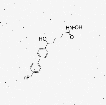 CCCc1ccc(-c2ccc(C(O)CCCCC(=O)NO)cc2)cc1